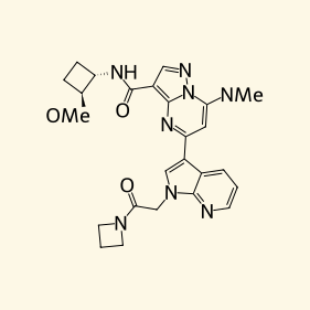 CNc1cc(-c2cn(CC(=O)N3CCC3)c3ncccc23)nc2c(C(=O)N[C@H]3CC[C@@H]3OC)cnn12